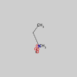 CCCCCCCC/C=C\CCCCCCCCCCCC(=O)N(C)CCOC(=O)c1ccco1